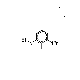 CCN(C)c1cccc(C(C)C)c1C